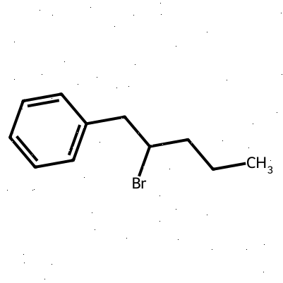 CCCC(Br)Cc1ccccc1